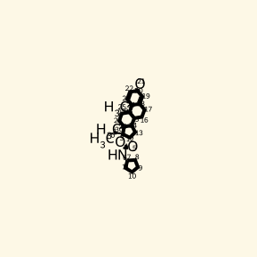 CC[C@]1(OC(=O)NC2CCCC2)CCC2C3CCC4=CC(=O)C=C[C@]4(C)C3CC[C@@]21C